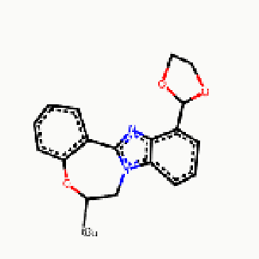 CC(C)(C)C1Cn2c(nc3c(C4OCCO4)cccc32)-c2ccccc2O1